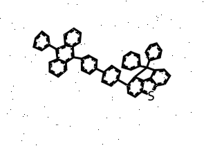 c1ccc(-c2c3ccccc3c(-c3ccc(-c4ccc(-c5ccc6sc7cccc8c7c6c5C8(c5ccccc5)c5ccccc5)cc4)cc3)c3ccccc23)cc1